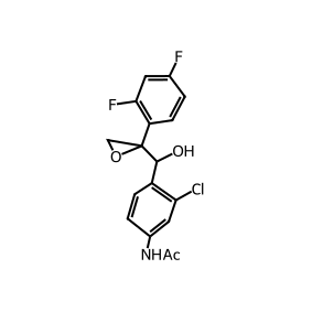 CC(=O)Nc1ccc(C(O)C2(c3ccc(F)cc3F)CO2)c(Cl)c1